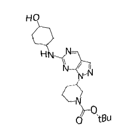 CC(C)(C)OC(=O)N1CCCC(n2ncc3cnc(NC4CCC(O)CC4)nc32)C1